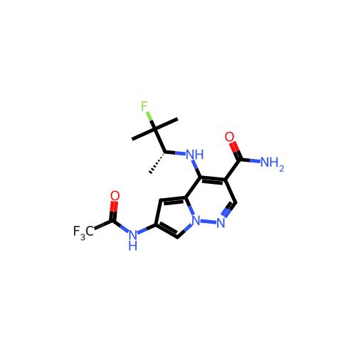 C[C@@H](Nc1c(C(N)=O)cnn2cc(NC(=O)C(F)(F)F)cc12)C(C)(C)F